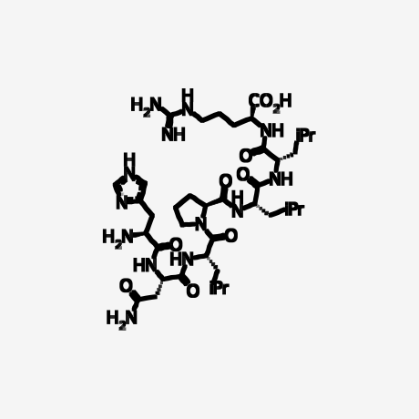 CC(C)C[C@H](NC(=O)[C@H](CC(C)C)NC(=O)[C@@H]1CCCN1C(=O)[C@H](CC(C)C)NC(=O)[C@H](CC(N)=O)NC(=O)[C@@H](N)Cc1c[nH]cn1)C(=O)N[C@@H](CCCNC(=N)N)C(=O)O